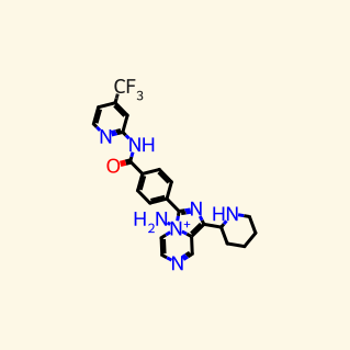 N[N+]12C=CN=CC1=C(C1CCCCN1)N=C2c1ccc(C(=O)Nc2cc(C(F)(F)F)ccn2)cc1